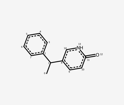 CC(c1ccccc1)c1ccc(=O)[nH]c1